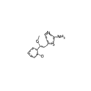 COC(=Cc1cnc(N)s1)c1ccccc1Cl